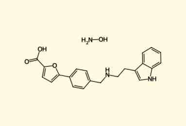 NO.O=C(O)c1ccc(-c2ccc(CNCCc3c[nH]c4ccccc34)cc2)o1